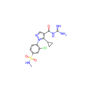 CNS(=O)(=O)c1ccc(-n2ncc(C(=O)NC(=N)N)c2C2CC2)c(Cl)c1